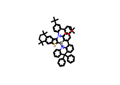 CC(C)(C)c1ccc(N2c3cc(C(C)(C)C)cc4c3B(c3sc5cc6c(cc5c32)C(C)(C)CCC6(C)C)N2c3ccccc3C(c3ccccc3)(c3ccccc3)c3cccc-4c32)c(-c2ccccc2)c1